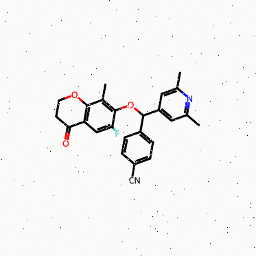 Cc1cc(C(Oc2c(F)cc3c(c2C)OCCC3=O)c2ccc(C#N)cc2)cc(C)n1